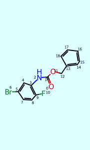 O=C(Nc1cc(Br)ccc1F)OCc1ccccc1